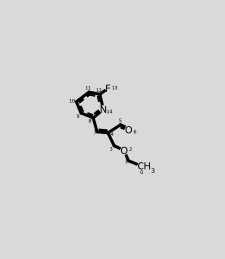 CCOC/C(C=O)=C/c1cccc(F)n1